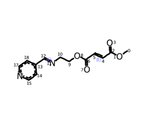 COC(=O)/C=C/C(=O)OCC/N=C/c1ccncc1